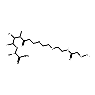 CNC(=O)[C@@H](NC(O)C(C(C)C)N(C)C(=O)CCOCCOCCNC(=O)CON)C(C)C